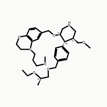 CCO[C@H](C)COCc1ccc([C@H]2[C@H](COC)CNC[C@@H]2OCc2ccc3c(c2)N(CCCOC)CCO3)cc1